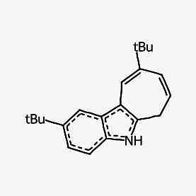 CC(C)(C)C1=Cc2c([nH]c3ccc(C(C)(C)C)cc23)CC=C1